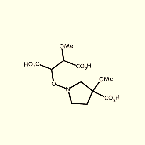 COC(C(=O)O)C(ON1CCC(OC)(C(=O)O)C1)C(=O)O